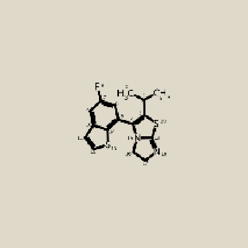 CC(C)C1=C(c2cc(F)cc3ccsc23)N2CCN=C2S1